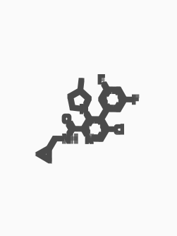 CC1CCN(c2c(C(=O)NCC3CC3)ncc(Cl)c2-c2cc(F)cc(F)c2)C1